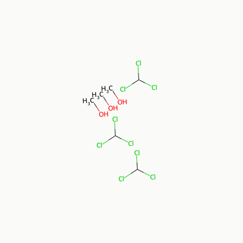 CO.CO.CO.ClC(Cl)Cl.ClC(Cl)Cl.ClC(Cl)Cl